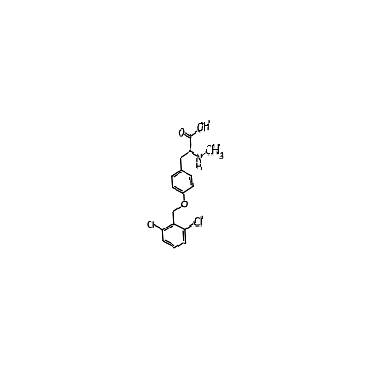 CNC(Cc1ccc(OCc2c(Cl)cccc2Cl)cc1)C(=O)O